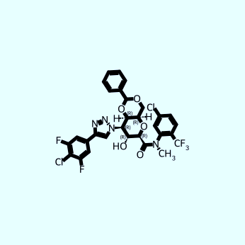 CN(C(=O)[C@@H]1O[C@@H]2COC(c3ccccc3)O[C@@H]2[C@H](n2cc(-c3cc(F)c(Cl)c(F)c3)nn2)[C@H]1O)c1cc(Cl)ccc1C(F)(F)F